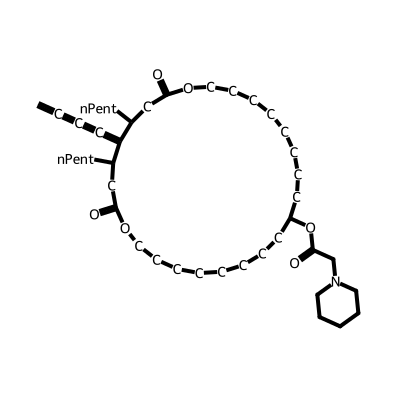 C=C=C=C=C1C(CCCCC)CC(=O)OCCCCCCCCC(OC(=O)CN2CCCCC2)CCCCCCCCOC(=O)CC1CCCCC